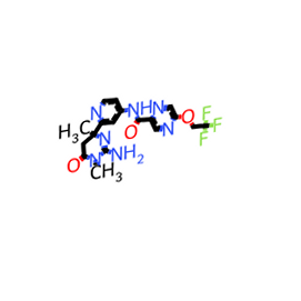 CN1C(=O)CC(C)(c2cc(NC(=O)c3cnc(OCC(F)(F)F)cn3)ccn2)N=C1N